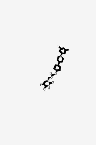 Cc1cc(C)cc(N2CCC(c3ccc(OC(=O)OCn4cc(F)c(=O)[nH]c4=O)cc3)CC2)c1